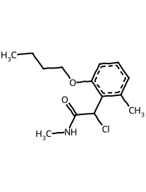 CCCCOc1cccc(C)c1C(Cl)C(=O)NC